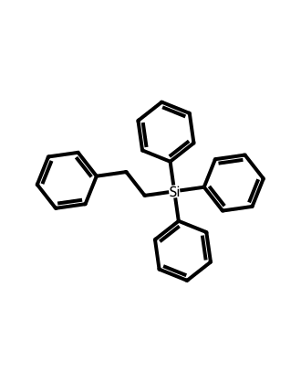 c1ccc(CC[Si](c2ccccc2)(c2ccccc2)c2ccccc2)cc1